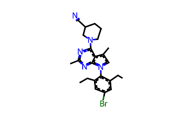 CCc1cc(Br)cc(CC)c1-n1cc(C)c2c(N3CCCC(C#N)C3)nc(C)nc21